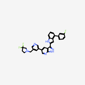 Fc1cccc(-c2cccc3[nH]c(-c4n[nH]c5ncc(-c6cncc(CN7CCC(F)(F)C7)c6)cc45)cc23)c1